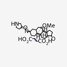 CO[C@@H]1CC2CC(=NO[C@@H]3CCNC3)CC[C@]2(C)[C@H]2CC[C@]3(C)C(=O)CC[C@H]3[C@H]12.O=C(O)/C=C/C(=O)O